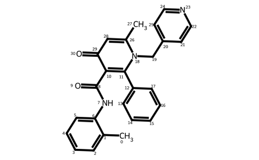 Cc1ccccc1NC(=O)c1c(-c2ccccc2)n(Cc2ccncc2)c(C)cc1=O